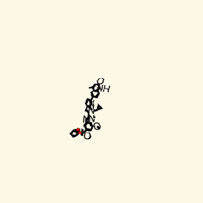 COc1cc(C(=O)N2CC3CCC2[C@@H]3C)cc2nc(-c3cc4ccc(-c5ccc6[nH]c(=O)cc(C)c6c5)nc4n3CC3CC3)n(C)c12